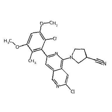 COc1cc(OC)c(Cl)c(-c2cc3cnc(Cl)cc3c(N3CCC(C#N)C3)n2)c1C